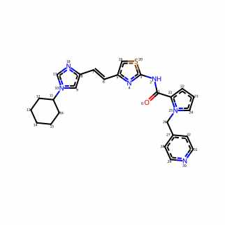 O=C(Nc1nc(C=Cc2cn(C3CCCCC3)cn2)cs1)c1cccn1Cc1ccncc1